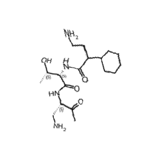 CC(=O)[C@H](CN)NC(=O)[C@@H](NC(=O)C(CCN)C1CCCCC1)[C@H](C)O